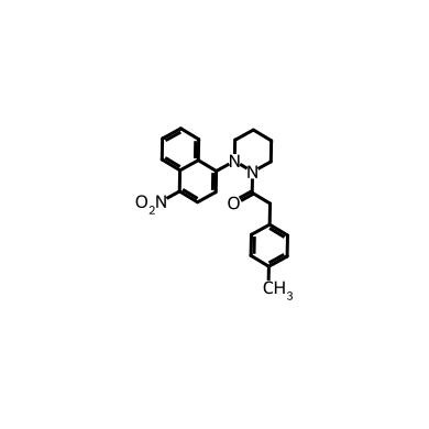 Cc1ccc(CC(=O)N2CCCCN2c2ccc([N+](=O)[O-])c3ccccc23)cc1